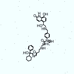 O=C(CCNCCc1cnc([C@](O)(c2ccccc2)C2CCCCC2)o1)Nc1ccc(CNCC(O)c2ccc(O)c3[nH]c(=O)ccc23)cc1.O=CO